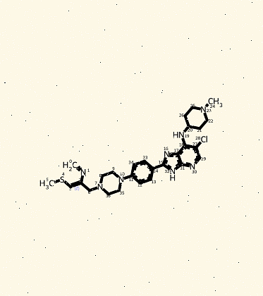 C=N/C(=C\SC)CN1CCN(c2ccc(-c3nc4c(NC5CCN(C)CC5)c(Cl)cnc4[nH]3)cc2)CC1